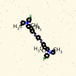 Cc1cccc(N(c2ccc(F)cc2)c2ccc3c(c2)C(C)(C)c2cc(/C=C/c4ccc(/C=C/c5ccc6c(c5)C(C)(C)c5cc(N(c7ccc(F)cc7)c7cccc(C)c7)ccc5-6)cc4)ccc2-3)c1